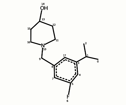 CC(C)c1cc(F)cc(CN2CCC(O)CC2)c1